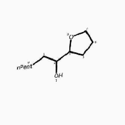 CCCCCCC(O)C1CCCO1